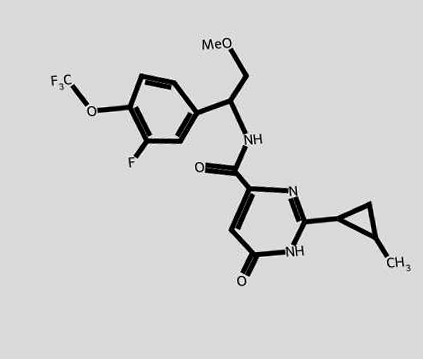 COCC(NC(=O)c1cc(=O)[nH]c(C2CC2C)n1)c1ccc(OC(F)(F)F)c(F)c1